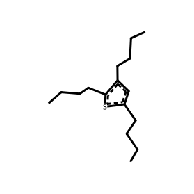 CCCCc1[c]c(CCCC)c(CCCC)s1